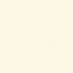 CCCCOP(=O)(O)OC1(C)CCCCC1C